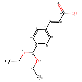 CCOC(OCC)c1ccc(C=CC(=O)O)cc1